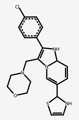 Clc1ccc(C2=C(CN3CCOCC3)N3C=C(C4NC=CS4)C=CC3N2)cc1